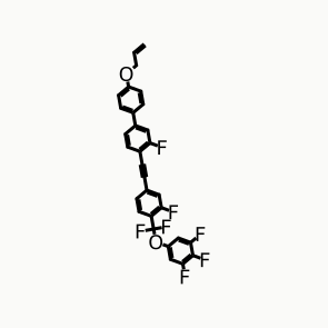 C=CCOc1ccc(-c2ccc(C#Cc3ccc(C(F)(F)Oc4cc(F)c(F)c(F)c4)c(F)c3)c(F)c2)cc1